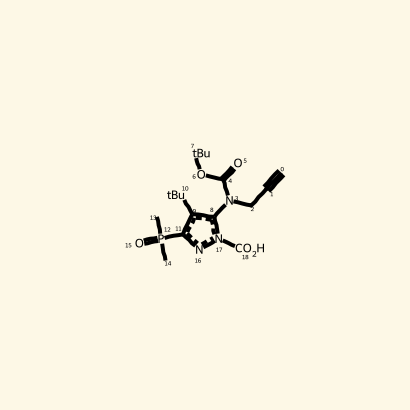 C#CCN(C(=O)OC(C)(C)C)c1c(C(C)(C)C)c(P(C)(C)=O)nn1C(=O)O